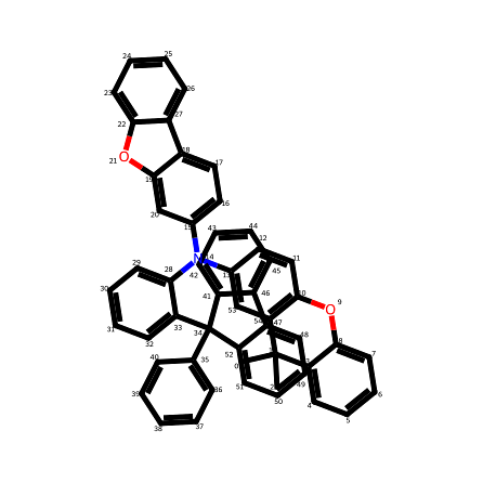 CC1(C)c2ccccc2Oc2ccc(N(c3ccc4c(c3)oc3ccccc34)c3ccccc3C3(c4ccccc4)c4ccccc4-c4ccccc43)cc21